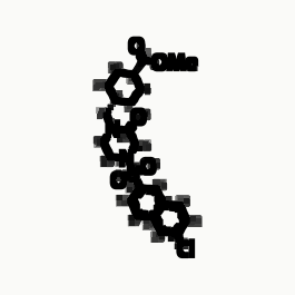 COC(=O)[C@H]1CC[C@H](CN2CCN(S(=O)(=O)c3ccc4cc(Cl)ccc4c3)CC2=O)CC1